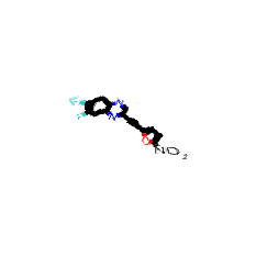 O=[N+]([O-])c1ccc(C#Cc2cnc3cc(F)c(F)cc3n2)o1